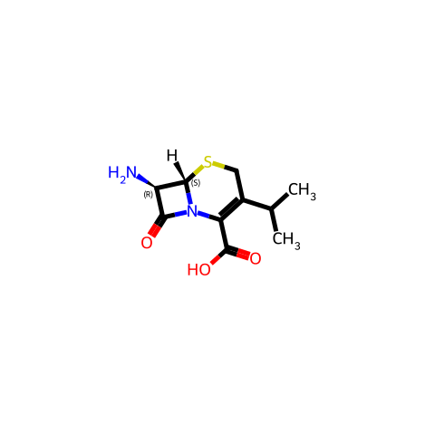 CC(C)C1=C(C(=O)O)N2C(=O)[C@@H](N)[C@@H]2SC1